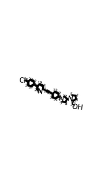 OC[C@@H]1CCCN1C1CCN(c2ccc(C#Cc3ccc(-c4ccc(Cl)cc4)cn3)cc2)C1